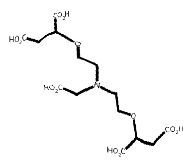 O=C(O)CC(OCCN(CCOC(CC(=O)O)C(=O)O)CC(=O)O)C(=O)O